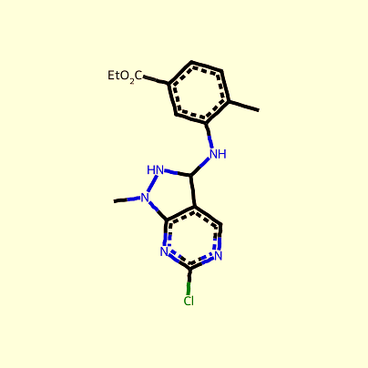 CCOC(=O)c1ccc(C)c(NC2NN(C)c3nc(Cl)ncc32)c1